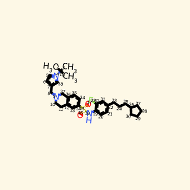 CC(C)(C)n1ccc(CN2CCc3cc(S(=O)(=O)Nc4ccc(CCCC5CCCC5)cc4F)ccc3C2)c1